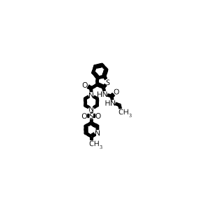 CCNC(=O)Nc1sc2ccccc2c1C(=O)N1CCN(S(=O)(=O)c2ccc(C)nc2)CC1